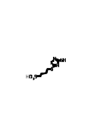 O=S(=O)(O)CCCCSc1nc(S)ns1